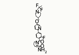 CC(F)(F)CN1CCC(COc2ccc(-c3ccc(C(=O)N4CCC[C@H]4C(N)=O)c(F)c3)nc2)CC1